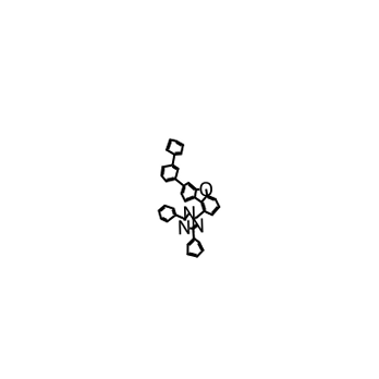 c1ccc(-c2cccc(-c3ccc4c(c3)oc3cccc(-c5nc(-c6ccccc6)nc(-c6ccccc6)n5)c34)c2)cc1